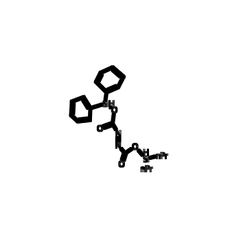 CCC[SiH](CCC)OC(=O)N=NC(=O)O[SiH](c1ccccc1)c1ccccc1